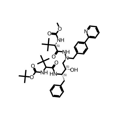 COC(=O)N[C@H](C(=O)NN(Cc1ccc(-c2ccccn2)cc1)C[C@H](O)[C@H](Cc1ccccc1)NC(=O)C(NC(=O)OC(C)(C)C)C(C)(C)C)C(C)(C)C